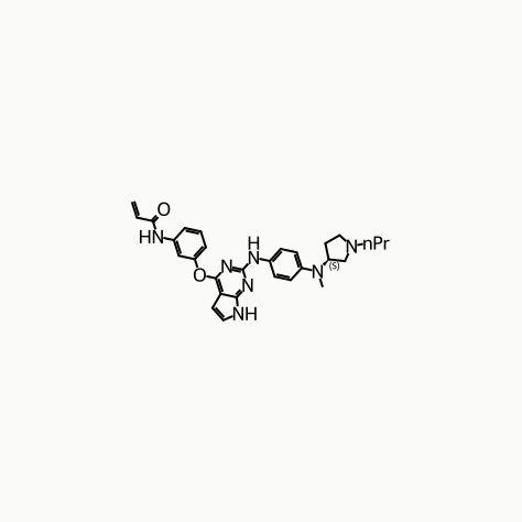 C=CC(=O)Nc1cccc(Oc2nc(Nc3ccc(N(C)[C@H]4CCN(CCC)C4)cc3)nc3[nH]ccc23)c1